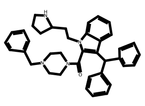 O=C(c1c(C(c2ccccc2)c2ccccc2)c2ccccc2n1CCC1CCCN1)N1CCN(Cc2ccccc2)CC1